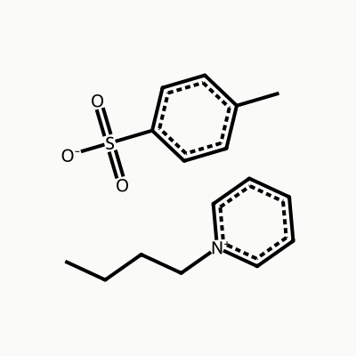 CCCC[n+]1ccccc1.Cc1ccc(S(=O)(=O)[O-])cc1